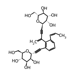 C=C(C#C[C@H]1O[C@H](CO)[C@@H](O)[C@H](O)[C@@H]1O)c1c(C#C[C@H]2O[C@H](CO)[C@@H](O)[C@H](O)[C@@H]2O)cccc1/C=C\C